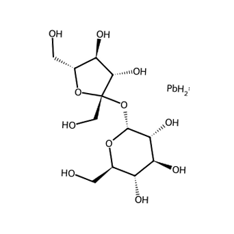 OC[C@H]1O[C@@](CO)(O[C@H]2O[C@H](CO)[C@@H](O)[C@H](O)[C@H]2O)[C@@H](O)[C@@H]1O.[PbH2]